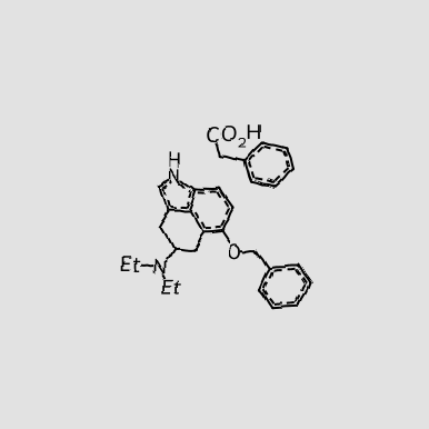 CCN(CC)C1Cc2c[nH]c3ccc(OCc4ccccc4)c(c23)C1.O=C(O)Cc1ccccc1